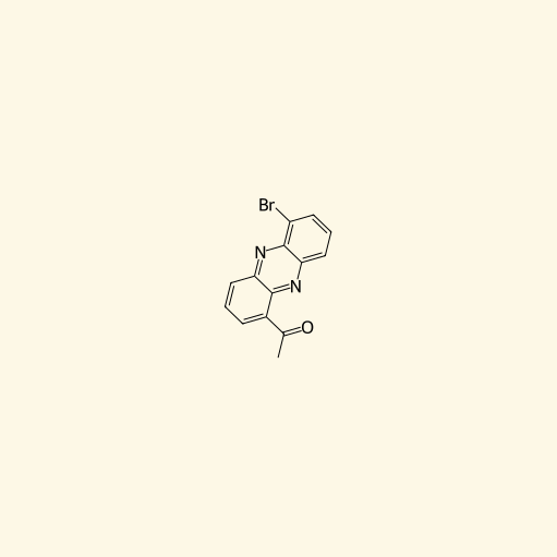 CC(=O)c1cccc2nc3c(Br)cccc3nc12